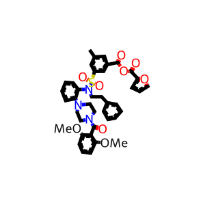 COc1cccc(OC)c1C(=O)N1CCN(c2ccccc2N(CCc2ccccc2)S(=O)(=O)c2cc(C)cc(C(=O)OC(=O)c3ccco3)c2)CC1